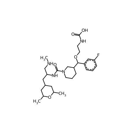 CNCC(CC1CC(C)OC(C)C1)NC(=O)N1CCCC(C(OCCNC(=O)O)c2cccc(F)c2)C1